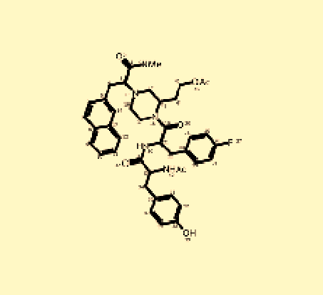 CNC(=O)C(Cc1ccc2ccccc2c1)N1CCN(C(=O)C(Cc2ccc(F)cc2)NC(=O)C(Cc2ccc(O)cc2)NC(C)=O)C(CCOC(C)=O)C1